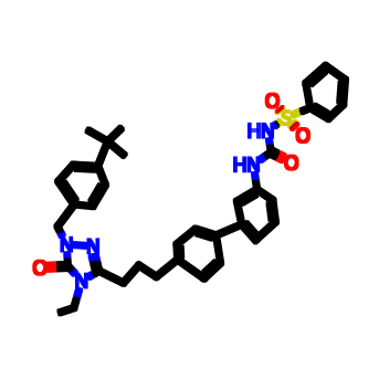 CCn1c(CCCc2ccc(-c3cccc(NC(=O)NS(=O)(=O)c4ccccc4)c3)cc2)nn(Cc2ccc(C(C)(C)C)cc2)c1=O